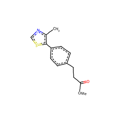 COC(=O)CCc1ccc(-c2scnc2C)cc1